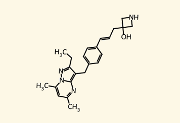 CCc1nn2c(C)cc(C)nc2c1Cc1ccc(C=CCC2(O)CNC2)cc1